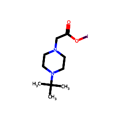 CC(C)(C)N1CCN(CC(=O)OI)CC1